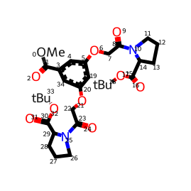 COC(=O)c1cc(OCC(=O)N2CCCC2C(=O)OC(C)(C)C)cc(OCC(=O)N2CCCC2C(=O)OC(C)(C)C)c1